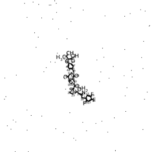 CC(C)[C@@H](Oc1ccc(CN2CC(=O)N3CCN(C(=O)C4SCCN4C(=O)C[C@H](N)Cc4cc(F)c(F)cc4F)CC3C2=O)cc1)C(=O)O